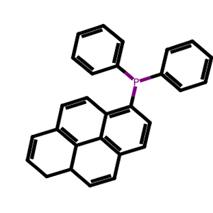 C1=Cc2ccc3c(P(c4ccccc4)c4ccccc4)ccc4c3c2C(C=C4)C1